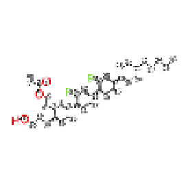 C=CC(=O)OCCc1cc(-c2ccc(-c3ccc(C4CCC(CCCCC)CC4)cc3F)cc2F)ccc1CCCO